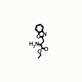 CCOC(=O)[C@@H](N)Cc1nc2ccccc2o1